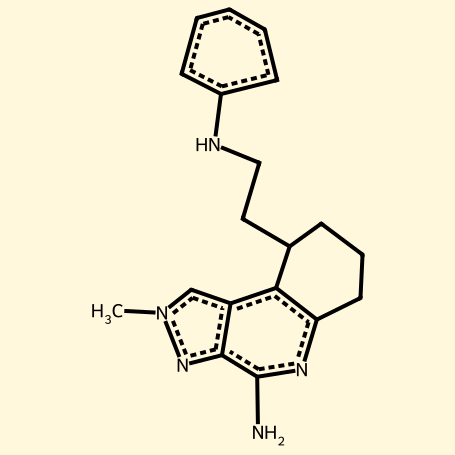 Cn1cc2c3c(nc(N)c2n1)CCCC3CCNc1ccccc1